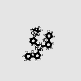 CC1(C)OB(c2cccc(-c3nc(-c4cccc5c4oc4ccccc45)nc(-c4cccc5c4oc4ccccc45)n3)c2)OC1(C)C